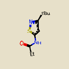 CCC(=O)Nc1cc(C(C)(C)C)ns1